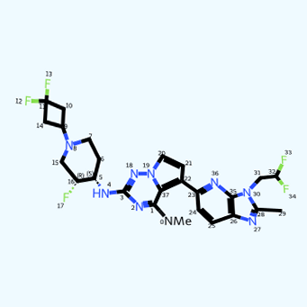 CNc1nc(N[C@H]2CCN(C3CC(F)(F)C3)C[C@H]2F)nn2ccc(-c3ccc4nc(C)n(CC(F)F)c4n3)c12